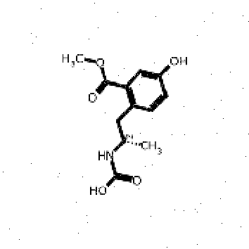 COC(=O)c1cc(O)ccc1C[C@H](C)NC(=O)O